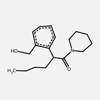 CCCCC(C(=O)N1CCCCC1)c1ccccc1CO